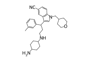 Cc1cccc(C(CCNC2CCC(N)CC2)c2cn(CC3CCOCC3)c3ccc(C#N)cc23)c1